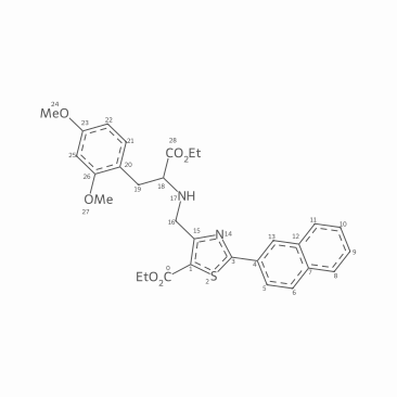 CCOC(=O)c1sc(-c2ccc3ccccc3c2)nc1CNC(Cc1ccc(OC)cc1OC)C(=O)OCC